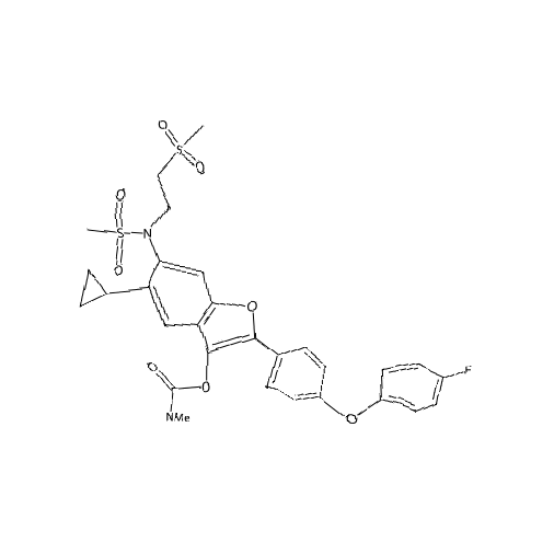 CNC(=O)Oc1c(-c2ccc(Oc3ccc(F)cc3)cc2)oc2cc(N(CCS(C)(=O)=O)S(C)(=O)=O)c(C3CC3)cc12